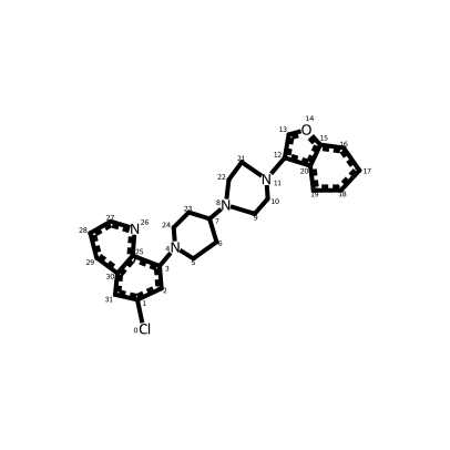 Clc1cc(N2CCC(N3CCN(c4coc5ccccc45)CC3)CC2)c2ncccc2c1